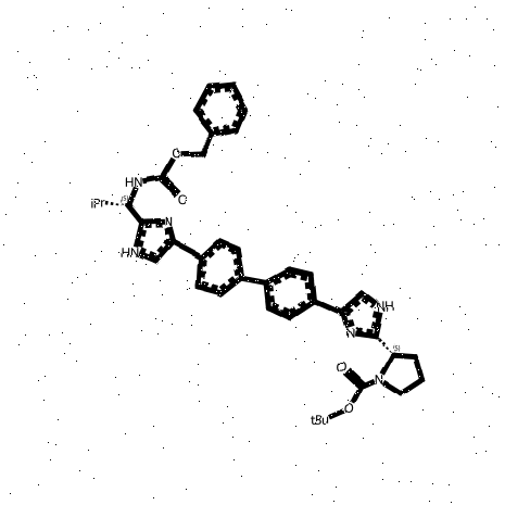 CC(C)[C@H](NC(=O)OCc1ccccc1)c1nc(-c2ccc(-c3ccc(-c4c[nH]c([C@@H]5CCCN5C(=O)OC(C)(C)C)n4)cc3)cc2)c[nH]1